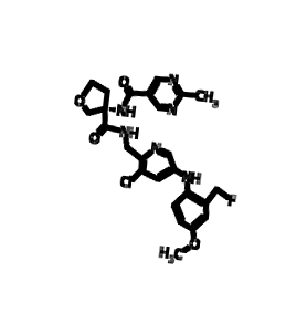 COc1ccc(Nc2cnc(CNC(=O)[C@]3(NC(=O)c4cnc(C)nc4)CCOC3)c(Cl)c2)c(CF)c1